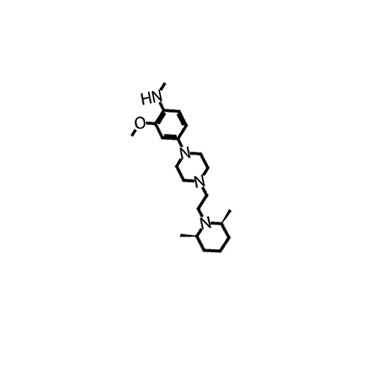 CNc1ccc(N2CCN(CCN3[C@H](C)CCC[C@@H]3C)CC2)cc1OC